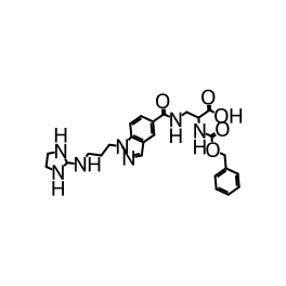 O=C(NC(CNC(=O)c1ccc2c(cnn2CCCNC2NCCN2)c1)C(=O)O)OCc1ccccc1